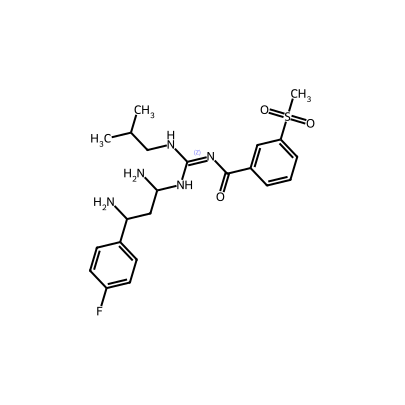 CC(C)CN/C(=N/C(=O)c1cccc(S(C)(=O)=O)c1)NC(N)CC(N)c1ccc(F)cc1